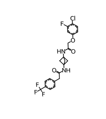 O=C(COc1ccc(Cl)c(F)c1)NC12CC(NC(=O)Cc3ccc(C(F)(F)F)cc3)(C1)C2